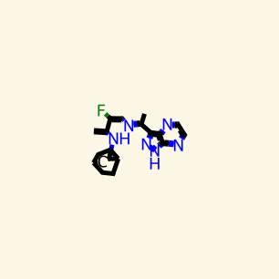 C=C(NC1CC2CCC1CC2)/C(F)=C\N=C(/C)c1n[nH]c2nccnc12